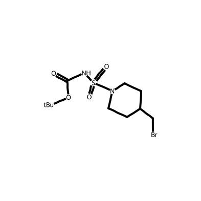 CC(C)(C)OC(=O)NS(=O)(=O)N1CCC(CBr)CC1